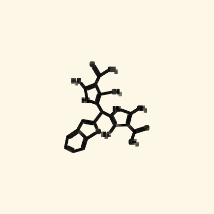 CC(=O)c1c(C)[nH]c(C(c2cc3ccccc3o2)c2[nH]c(C)c(C(C)=O)c2C)c1C